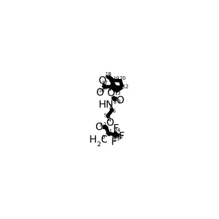 C=C(C(=O)OCCNC(=O)OC1C2CC3C(=O)OC1C3C2)C(F)(F)F